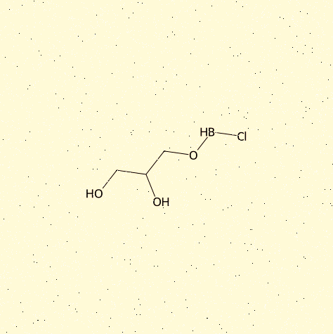 OCC(O)COBCl